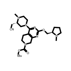 CN1CCC[C@@H]1COc1nc2c(c(N3CCN(C)[C@@H](CC#N)C3)n1)CCN(C(=O)OC(C)(C)C)C2